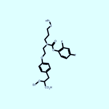 CCCSCCCN(CCOc1ccc(CC(OCC)C(=O)O)cc1)C(=O)Oc1ccc(F)cc1F